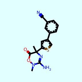 CN1OC(=O)C(C)(c2cc(-c3cccc(C#N)c3)cs2)N=C1N